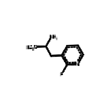 NC(Cc1cccnc1F)C(=O)O